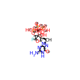 C#C[C@]1(O)[C@H](n2cnc3c(=O)[nH]c(N)nc32)O[C@]2(F)C(OP(=O)(O)OP(=O)(O)OP(=O)(O)O)[C@@]21O